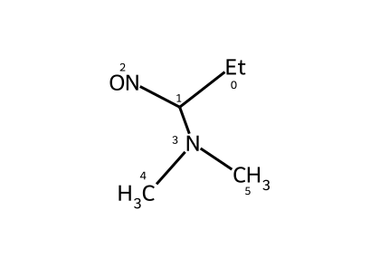 CCC(N=O)N(C)C